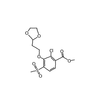 COC(=O)c1ccc(S(C)(=O)=O)c(OCCC2OCCO2)c1Cl